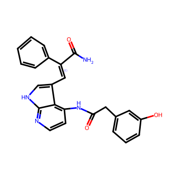 NC(=O)/C(=C/c1c[nH]c2nccc(NC(=O)Cc3cccc(O)c3)c12)c1ccccc1